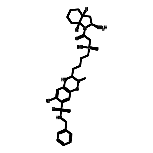 CN1Sc2cc(S(=O)(=O)NCc3ccccc3)c(Cl)cc2NC1CCCCP(=O)(O)CC(=O)N1[C@@H]2CCCC[C@@H]2C[C@H]1C(=O)O